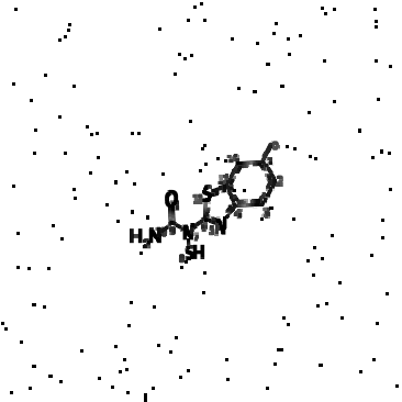 Cc1ccc2nc(N(S)C(N)=O)sc2c1